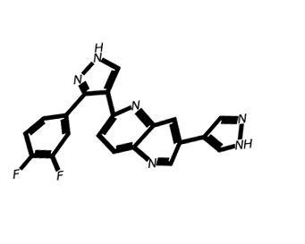 Fc1ccc(-c2n[nH]cc2-c2ccc3ncc(-c4cn[nH]c4)cc3n2)cc1F